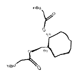 CCCCC(=O)O[C@@H]1CCCC[C@H]1OC(=O)CCCC